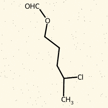 CC(Cl)CCCOC=O